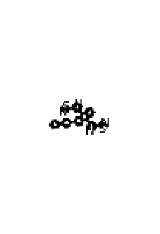 c1ccc(-c2ccc(-c3ccc4c(-c5cncc(-c6cncs6)c5)c5ccccc5c(-c5cncc(-c6cncs6)c5)c4c3)cc2)cc1